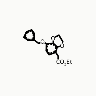 CCOC(=O)Cc1ccc(OCc2ccccc2)c2c1OCCO2